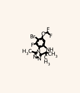 Cc1nnc2n1-c1c(cc(OC(F)F)c(Br)c1F)NC2(C)C